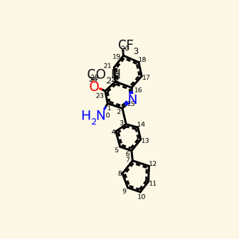 Nc1c(-c2ccc(-c3ccccc3)cc2)nc2ccc(C(F)(F)F)cc2c1OC(=O)O